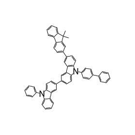 CC1(C)c2ccccc2-c2ccc(-c3ccc4c(c3)c3cc(-c5ccc6c(c5)c5ccccc5n6-c5ccccc5)ccc3n4-c3ccc(-c4ccccc4)cc3)cc21